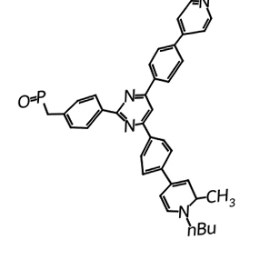 CCCCN1C=CC(c2ccc(-c3cc(-c4ccc(-c5ccncc5)cc4)nc(-c4ccc(CP=O)cc4)n3)cc2)=CC1C